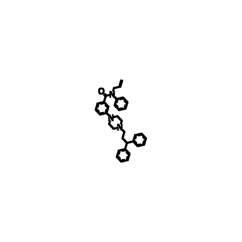 C=CCN(C(=O)c1cccc(N2CCN(CCC(c3ccccc3)c3ccccc3)CC2)c1)c1ccccc1